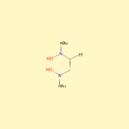 CCCCN(O)CC(CC)N(O)CCCC